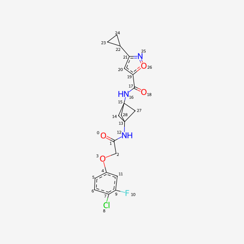 O=C(COc1ccc(Cl)c(F)c1)NC12CC(NC(=O)c3cc(C4CC4)no3)(C1)C2